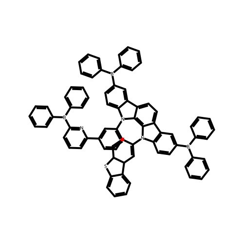 C1=CC2Sc3ccccc3C2C=C1n1c2ccc(B(c3ccccc3)c3ccccc3)cc2c2ccc3c4cc(B(c5ccccc5)c5ccccc5)ccc4n(-c4cccc(-c5cccc(B(c6ccccc6)c6ccccc6)n5)c4)c3c21